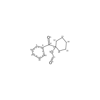 O=COC1(C(=O)c2ccccc2)CCCCC1